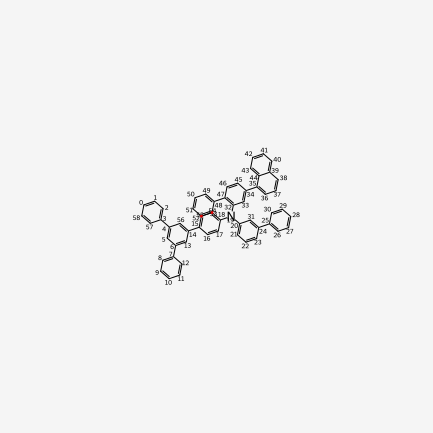 c1ccc(-c2cc(-c3ccccc3)cc(-c3ccc(N(c4cccc(-c5ccccc5)c4)c4cc(-c5cccc6ccccc56)ccc4-c4ccccc4)cc3)c2)cc1